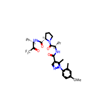 COc1ccc(-n2ncc(C(=O)N[C@H](C(=O)N3CCC[C@H]3C(=O)N[C@H](C(=O)C(F)(F)F)C(C)C)C(C)C)c2C)c(C)c1